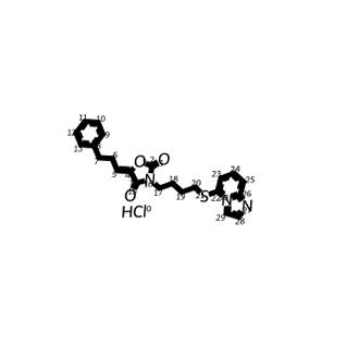 Cl.O=C1OC(=CCCc2ccccc2)C(=O)N1CCCCSc1cccc2nccn12